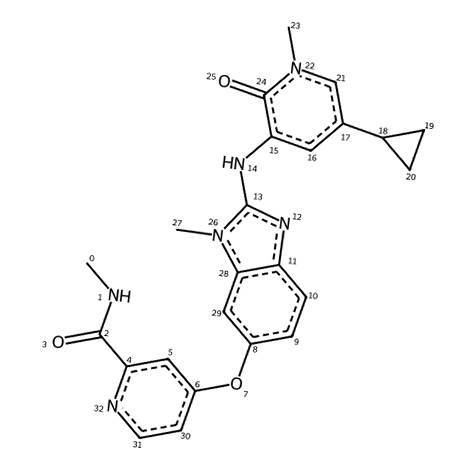 CNC(=O)c1cc(Oc2ccc3nc(Nc4cc(C5CC5)cn(C)c4=O)n(C)c3c2)ccn1